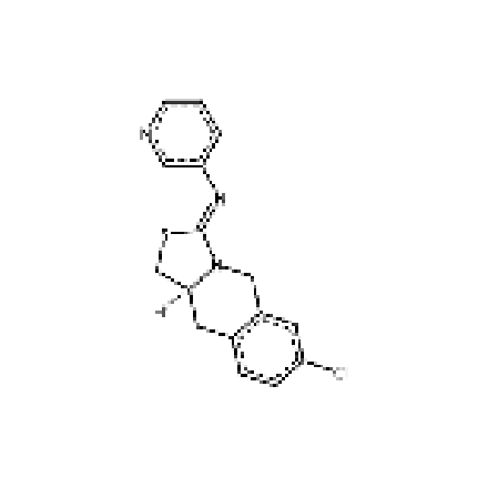 Clc1ccc2c(c1)CN1C(=Nc3cccnc3)SC[C@@H]1C2